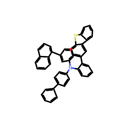 c1ccc(-c2ccc(N(c3cccc(-c4cccc5ccccc45)c3)c3ccccc3-c3ccc4sc5ccccc5c4c3)cc2)cc1